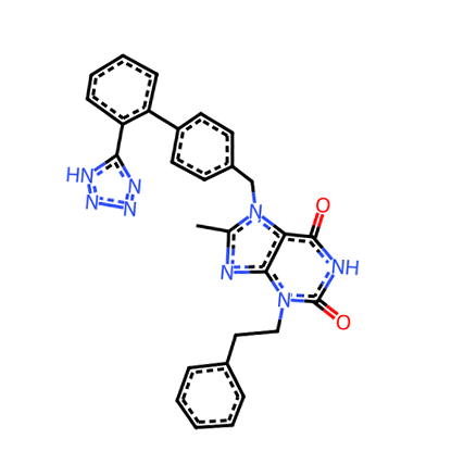 Cc1nc2c(c(=O)[nH]c(=O)n2CCc2ccccc2)n1Cc1ccc(-c2ccccc2-c2nnn[nH]2)cc1